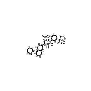 COc1ccc(C2(OC)CCCC2)cc1S(=O)(=O)NC(=O)c1ccc2c(-c3ccccn3)cccc2n1